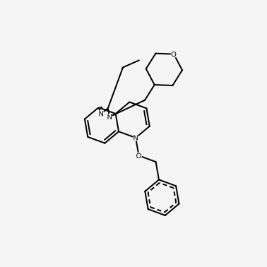 CCC1N=C2C=CC=C3N(OCc4ccccc4)C=CCC32N1CC1CCOCC1